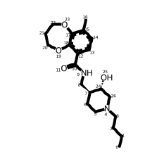 CCCCN1CC[C@@H](CNC(=O)c2ccc(C)c3c2OCCCO3)[C@H](O)C1